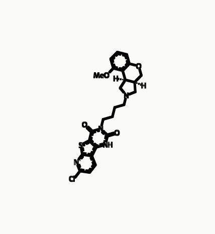 COc1cccc2c1[C@@H]1CN(CCCCn3c(=O)[nH]c4c(sc5nc(Cl)ccc54)c3=O)C[C@@H]1CO2